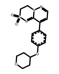 O=S1(=O)CCN2N=CC=C(c3ccc(OC4CCOCC4)cc3)C2=N1